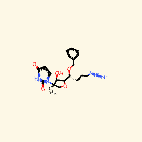 CC1(n2ccc(=O)[nH]c2=O)CO[C@H]([C@@H](CCCN=[N+]=[N-])OCc2ccccc2)C1O